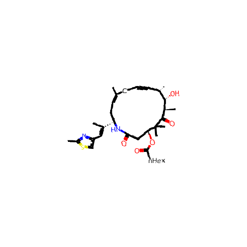 CCCCCCC(=O)O[C@H]1CC(=O)N[C@H](/C(C)=C/c2csc(C)n2)C/C=C(/C)C/C=C\[C@H](C)[C@H](O)[C@@H](C)C(=O)C1(C)C